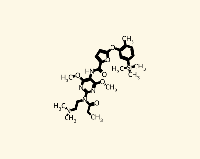 CCC(=O)N(CCN(C)C)c1nc(OC)c(NC(=O)c2ccc(Oc3cc([Si](C)(C)C)ccc3C)o2)c(OC)n1